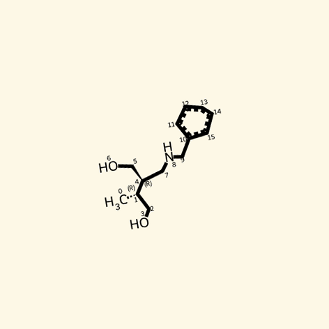 C[C@@H](CO)[C@@H](CO)CNCc1ccccc1